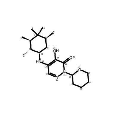 C[C@@H]1[C@@H](C)C(C)(C)[C@@H](C)C[C@H]1Nc1cnn(C2CCCCO2)c(=O)c1O